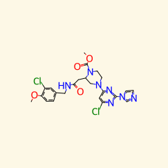 COC(=O)N1CCN(c2cc(Cl)nc(-n3ccnc3)n2)CC1CC(=O)NCc1ccc(OC)c(Cl)c1